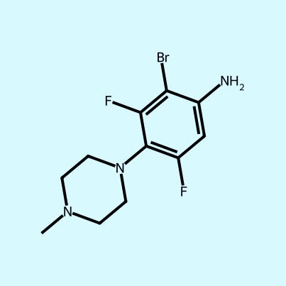 CN1CCN(c2c(F)cc(N)c(Br)c2F)CC1